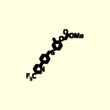 COC(=O)COc1ccc(SCc2ccc(-c3ccc(C(F)(F)F)cn3)cc2)cc1C